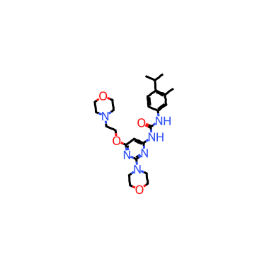 Cc1cc(NC(=O)Nc2cc(OCCN3CCOCC3)nc(N3CCOCC3)n2)ccc1C(C)C